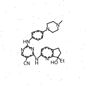 CCC1(O)CCc2ccc(Nc3nc(Nc4ccc(N5CCN(C)CC5)cc4)ncc3C#N)nc21